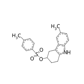 Cc1ccc(S(=O)(=O)OC2CCc3[nH]c4ccc(C)cc4c3C2)cc1